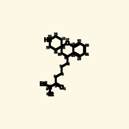 CCN(CC)C(=O)CCCCC1CC2(CCNCC2)Oc2ccccc21